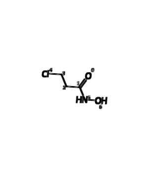 O=C(CCCl)NO